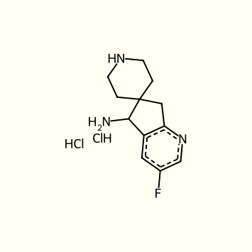 Cl.Cl.NC1c2cc(F)cnc2CC12CCNCC2